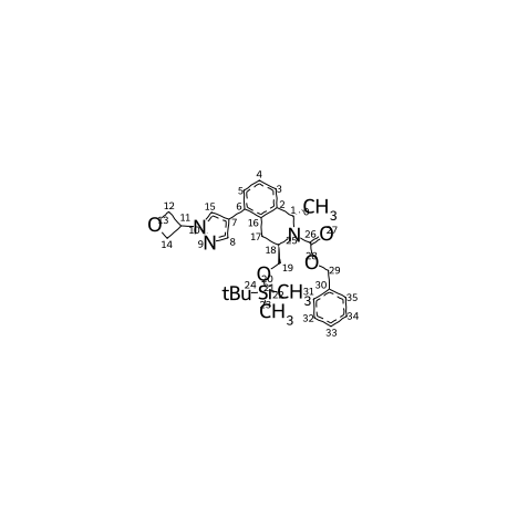 C[C@H]1c2cccc(-c3cnn(C4COC4)c3)c2C[C@H](CO[Si](C)(C)C(C)(C)C)N1C(=O)OCc1ccccc1